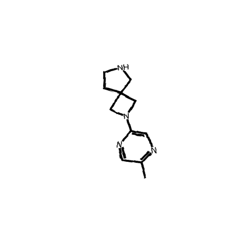 Cc1cnc(N2CC3(CCNC3)C2)cn1